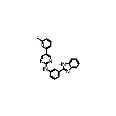 Fc1cccc(-c2cnc(Nc3cccc(-c4nc5ccccc5[nH]4)c3)nc2)n1